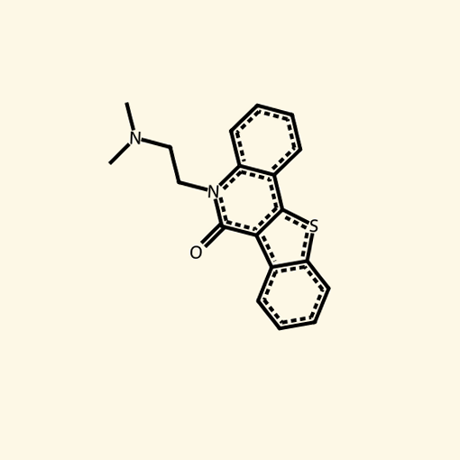 CN(C)CCn1c(=O)c2c3ccccc3sc2c2ccccc21